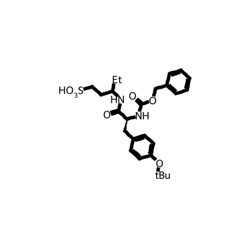 CCC(CCS(=O)(=O)O)NC(=O)[C@H](Cc1ccc(OC(C)(C)C)cc1)NC(=O)OCc1ccccc1